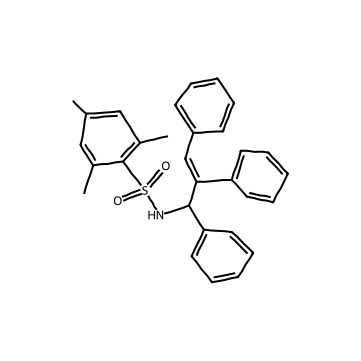 Cc1cc(C)c(S(=O)(=O)NC(/C(=C/c2ccccc2)c2ccccc2)c2ccccc2)c(C)c1